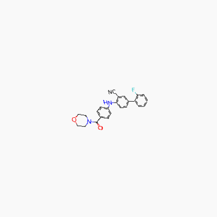 N#Cc1cc(-c2ccccc2F)ccc1Nc1ccc(C(=O)N2CCOCC2)cc1